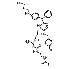 CCC(=O)NCCNC(=O)/N=C(/N)NCCC[C@@H](NC(=O)C(c1ccccc1)c1ccc(NCCCN)cc1)C(=O)NCc1ccc(O)cc1